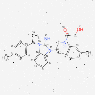 Cc1ccc(CC(CNC(=O)CO)n2c(=N)n(C(C)c3ccc(C)cc3)c3ccccc32)cc1